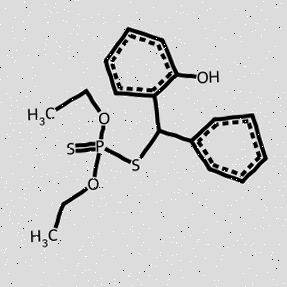 CCOP(=S)(OCC)SC(c1ccccc1)c1ccccc1O